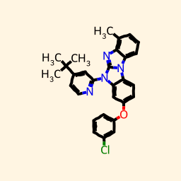 Cc1cccc2c1nc1n(-c3cc(C(C)(C)C)ccn3)c3cc(Oc4cccc(Cl)c4)ccc3n21